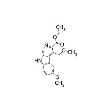 CCOC(=O)c1ncc2[nH]c3ccc(SC)cc3c2c1COC